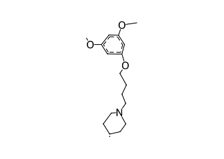 COc1cc(OC)cc(OCCCCN2CC[CH]CC2)c1